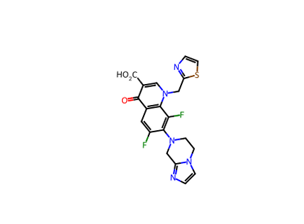 O=C(O)c1cn(Cc2nccs2)c2c(F)c(N3CCn4ccnc4C3)c(F)cc2c1=O